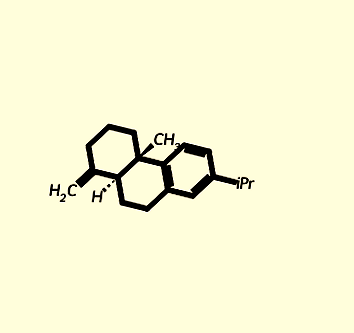 C=C1CCC[C@]2(C)c3ccc(C(C)C)cc3CC[C@@H]12